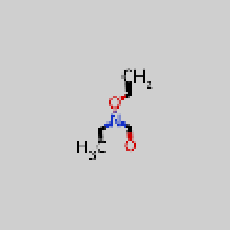 C=CON(C=O)CC